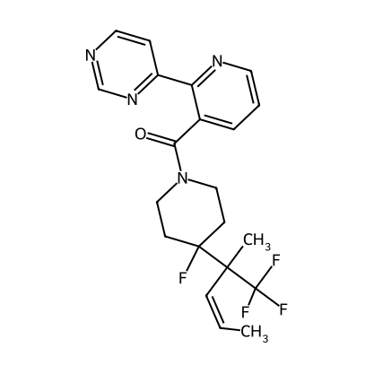 C/C=C\C(C)(C(F)(F)F)C1(F)CCN(C(=O)c2cccnc2-c2ccncn2)CC1